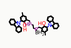 BP(CCPCc1cc(C)cc(-n2c3ccccc3c3ccccc32)c1O)Cc1cc(C)cc(-n2c3ccccc3c3ccccc32)c1O